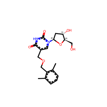 Cc1cccc(C)c1COCc1cn([C@H]2C[C@H](O)[C@@H](CO)O2)c(=O)[nH]c1=O